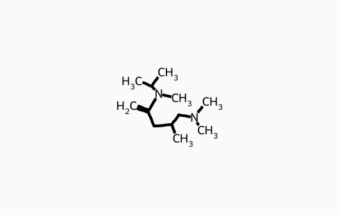 C=C(CC(C)CN(C)C)N(C)C(C)C